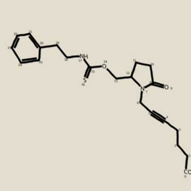 O=C(O)CCCC#CCN1C(=O)CCC1COC(=S)NCCc1ccccc1